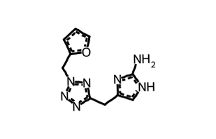 Nc1nc(Cc2nnn(Cc3ccco3)n2)c[nH]1